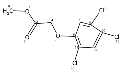 COC(=O)COc1cc(Cl)c(Cl)cc1Cl